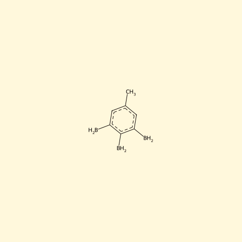 Bc1cc(C)cc(B)c1B